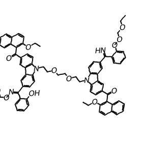 CCOCOOc1ccccc1C(=N)c1ccc2c(c1)c1cc(C(=O)c3c(OCC)ccc4ccccc34)ccc1n2CCOCCOCCn1c2ccc(C(=O)c3c(OCC)ccc4ccccc34)cc2c2cc(/C(=N/OC(C)=O)c3ccccc3O)ccc21